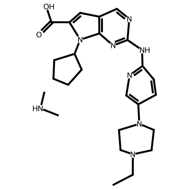 CCN1CCN(c2ccc(Nc3ncc4cc(C(=O)O)n(C5CCCC5)c4n3)nc2)CC1.CNC